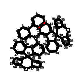 c1ccc(-c2ccccc2N(c2cccc3c2-c2ccccc2C32c3ccccc3Oc3ccccc32)c2cccc3c2-c2ccccc2C32c3ccccc3Oc3ccccc32)cc1